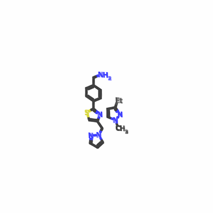 CCc1ccn(C)n1.NCc1ccc(-c2nc(Cn3cccn3)cs2)cc1